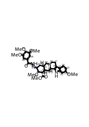 COC(=O)[C@H]1[C@H]2C[C@@H]3c4[nH]c5cc(OC)ccc5c4CCN3C[C@H]2C/C(=N\NC(=O)c2cc(OC)c(OC)c(OC)c2)[C@@H]1OC